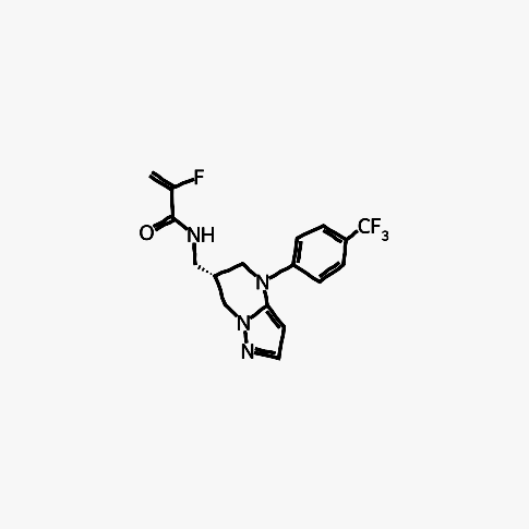 C=C(F)C(=O)NC[C@@H]1CN(c2ccc(C(F)(F)F)cc2)c2ccnn2C1